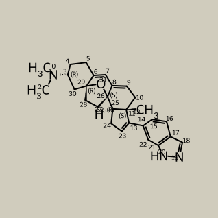 CN(C)[C@@H]1CCC2=CC3=CC[C@]4(C)C(c5ccc6cn[nH]c6c5)=CC[C@H]4[C@@]34CC[C@]2(C1)O4